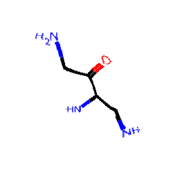 [NH]CC([NH])C(=O)CN